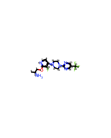 CC(N)COc1nccc(N2CCN(c3ncc(C(F)(F)F)cn3)CC2)c1F